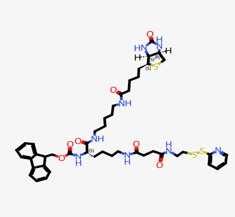 O=C(CCCC[C@@H]1SC[C@@H]2NC(=O)N[C@@H]21)NCCCCCNC(=O)[C@H](CCCCNC(=O)CCC(=O)NCCSSc1ccccn1)NC(=O)OCC1c2ccccc2-c2ccccc21